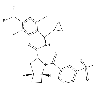 CS(=O)(=O)c1cccc(C(=O)N2[C@@H](C(=O)N[C@@H](c3cc(F)c(C(F)F)cc3F)C3CC3)C[C@H]3CC[C@H]32)c1